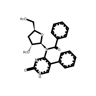 CC(=O)OC[C@@H]1C[C@@H](OC(C)=O)[C@H](N(C(=O)c2ccccc2)c2nc(=O)[nH]cc2-c2ccccc2)O1